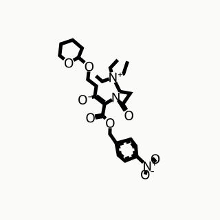 CC[N+](CC)(CC)C1CC(=O)N1C(C(=O)OCc1ccc([N+](=O)[O-])cc1)=C([O-])CCOC1CCCCO1